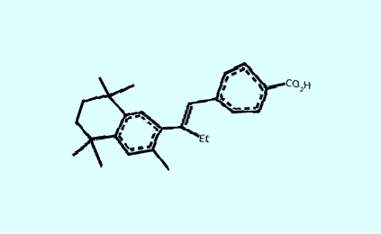 CCC(=Cc1ccc(C(=O)O)cc1)c1cc2c(cc1C)C(C)(C)CCC2(C)C